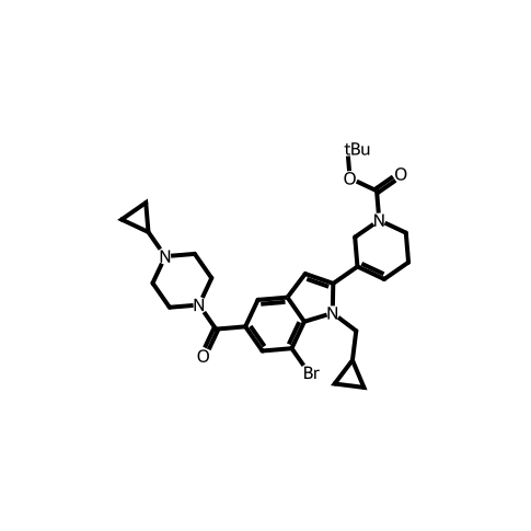 CC(C)(C)OC(=O)N1CCC=C(c2cc3cc(C(=O)N4CCN(C5CC5)CC4)cc(Br)c3n2CC2CC2)C1